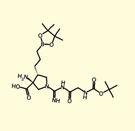 CC(C)(C)OC(=O)NCC(=O)NC(=N)N1C[C@@H](CCCB2OC(C)(C)C(C)(C)O2)[C@@](N)(C(=O)O)C1